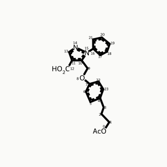 CC(=O)OCCCc1ccc(OCc2c(C(=O)O)cnn2-c2ccccc2)cc1